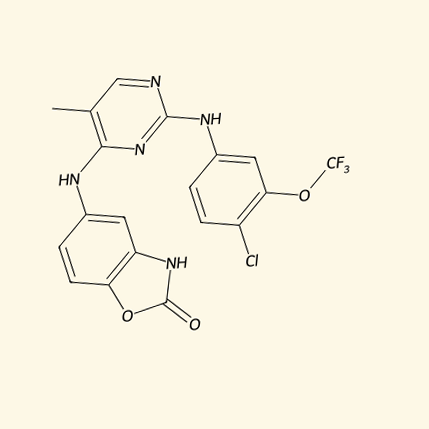 Cc1cnc(Nc2ccc(Cl)c(OC(F)(F)F)c2)nc1Nc1ccc2oc(=O)[nH]c2c1